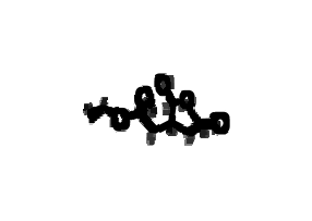 C=COC(=O)CC1CC(=O)OC1=O